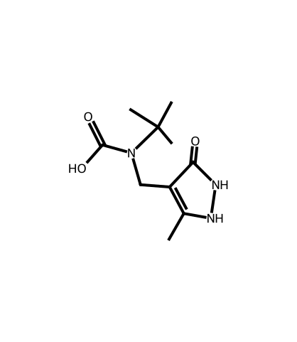 Cc1[nH][nH]c(=O)c1CN(C(=O)O)C(C)(C)C